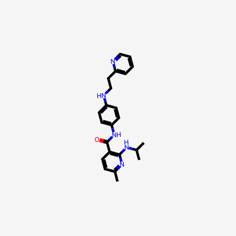 Cc1ccc(C(=O)Nc2ccc(NCCc3ccccn3)cc2)c(NC(C)C)n1